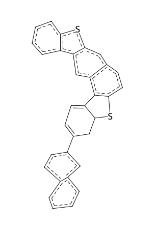 C1=C(c2ccc3ccccc3c2)CC2Sc3ccc4cc5sc6ccccc6c5cc4c3C2=C1